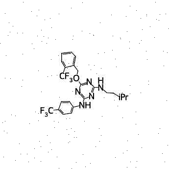 CC(C)CCNc1nc(Nc2ccc(C(F)(F)F)cc2)nc(OCc2ccccc2C(F)(F)F)n1